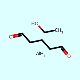 CCO.O=CCCCC=O.[AlH3]